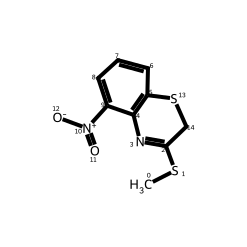 CSC1=Nc2c(cccc2[N+](=O)[O-])SC1